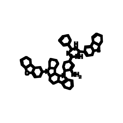 NC1=CC(C2=NC(C3=CC=CCC3)NC(C3=CCC4SC5CCC=CC5C4=C3)N2)CCC1N1C2=C(CCC=C2)C2CCC3C(C4CCCCC4N3C3CC=C4OC5C=CCCC5C4C3)C21